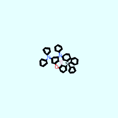 c1ccc(N(c2ccccc2)c2cc3c4c(c2)N(c2ccccc2)c2cccc5c2B4c2c(cccc2[Si]5(c2ccccc2)c2ccccc2)O3)cc1